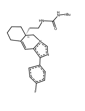 CCCCNC(=O)NCC[C@@]12CCCCC1=Cc1c(-c3ccc(F)cc3)ncn1C2